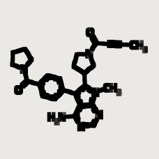 CC#CC(=O)N1CCC(c2c(-c3ccc(C(=O)N4CCCC4)cc3)c3c(N)ncnc3n2C)C1